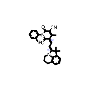 CC1=C(C#N)C(=O)N(c2ccccc2C(C)C)C(=O)/C1=C\C=C1\N2CCCc3cccc(c32)C1(C)C